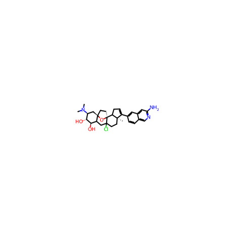 CN(C)[C@H]1C[C@@]23CC[C@]4(O2)C2CC=C(c5ccc6cnc(N)cc6c5)[C@@]2(C)CCC4(Cl)CC3[C@@H](O)[C@@H]1O